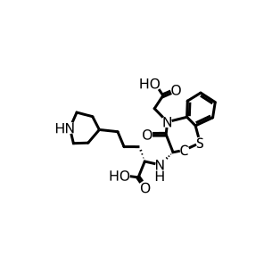 O=C(O)CN1C(=O)[C@@H](N[C@@H](CCCC2CCNCC2)C(=O)O)CSc2ccccc21